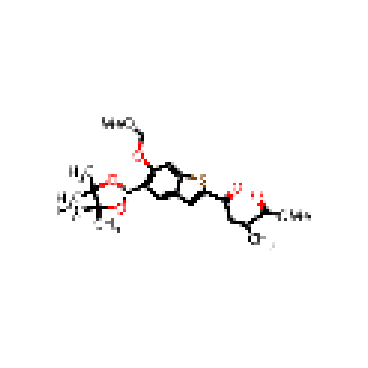 COCOc1cc2sc(C(=O)CC(C)C(=O)OC)cc2cc1B1OC(C)(C)C(C)(C)O1